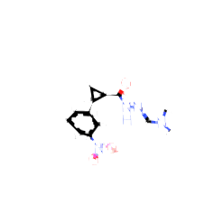 CN(C)/C=N/NC(=O)[C@@H]1C[C@@H]1c1cccc([N+](=O)[O-])c1